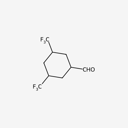 O=CC1CC(C(F)(F)F)CC(C(F)(F)F)C1